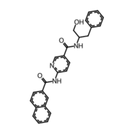 O=C(Nc1ccc(C(=O)NC(CO)Cc2ccccc2)cn1)c1ccc2ccccc2c1